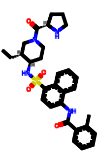 CC[C@@H]1CN(C(=O)[C@@H]2CCCN2)CC[C@H]1NS(=O)(=O)c1ccc(NC(=O)c2ccccc2C)c2ccccc12